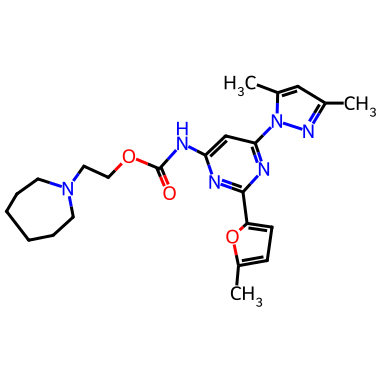 Cc1cc(C)n(-c2cc(NC(=O)OCCN3CCCCCC3)nc(-c3ccc(C)o3)n2)n1